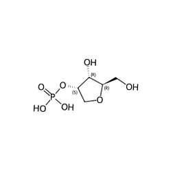 O=P(O)(O)O[C@H]1CO[C@H](CO)[C@H]1O